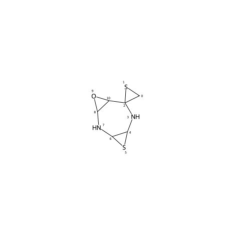 C1SC12NC1SC1NC1OC12